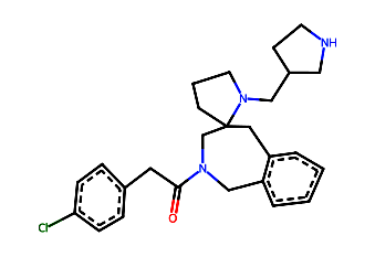 O=C(Cc1ccc(Cl)cc1)N1Cc2ccccc2CC2(CCCN2CC2CCNC2)C1